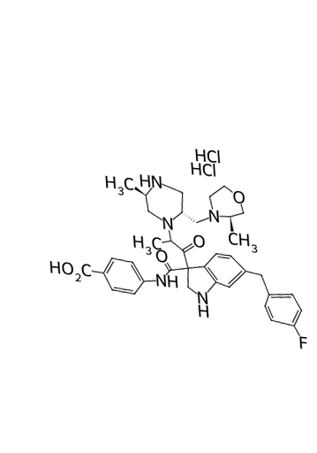 CC(C(=O)C1(C(=O)Nc2ccc(C(=O)O)cc2)CNc2cc(Cc3ccc(F)cc3)ccc21)N1C[C@@H](C)NC[C@@H]1CN1CCOC[C@H]1C.Cl.Cl